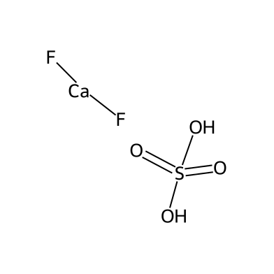 O=S(=O)(O)O.[F][Ca][F]